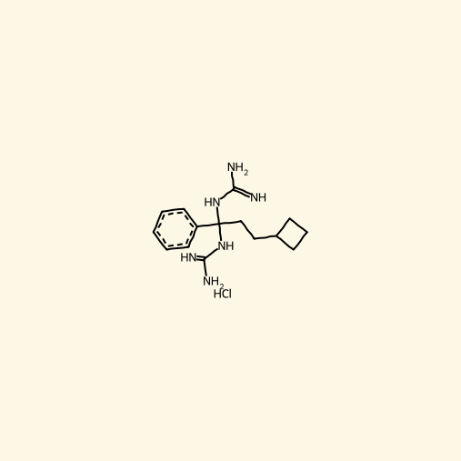 Cl.N=C(N)NC(CCC1CCC1)(NC(=N)N)c1ccccc1